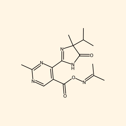 CC(C)=NOC(=O)c1cnc(C)nc1C1=NC(C)(C(C)C)C(=O)N1